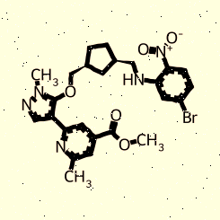 COC(=O)c1cc(C)nc(-c2cnn(C)c2OC[C@H]2CC[C@@H](CNc3cc(Br)ccc3[N+](=O)[O-])C2)c1